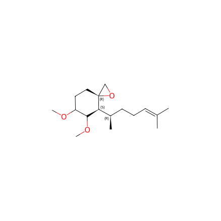 COC1CC[C@]2(CO2)[C@@H]([C@H](C)CCC=C(C)C)C1OC